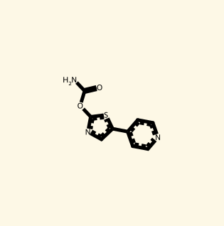 NC(=O)Oc1ncc(-c2ccncc2)s1